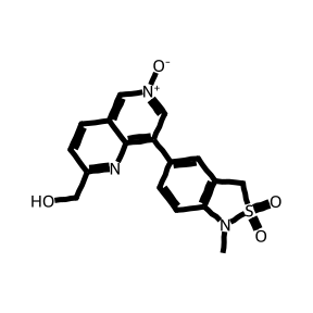 CN1c2ccc(-c3c[n+]([O-])cc4ccc(CO)nc34)cc2CS1(=O)=O